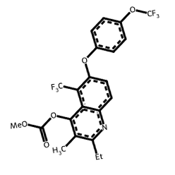 CCc1nc2ccc(Oc3ccc(OC(F)(F)F)cc3)c(C(F)(F)F)c2c(OC(=O)OC)c1C